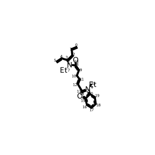 C=CC1=C(C=C)N(CC)C(=CCC=Cc2oc3ccccc3[n+]2CC)O1